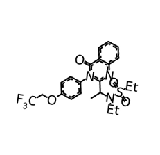 CCN(C(C)c1nc2ccccc2c(=O)n1-c1ccc(OCC(F)(F)F)cc1)S(=O)(=O)CC